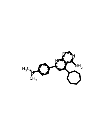 CN(C)c1ccc(-c2cc(C3CCCCCC3)c3c(N)ncnc3n2)cc1